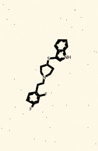 Fc1ccc(CCN2CCC(Sc3c[nH]c4ccccc34)CC2)c(F)c1